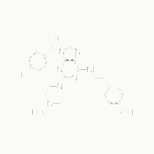 CC(c1ccc(F)cc1)n1cnc2c(NCCc3ccc(O)cc3)nc(N3CCN(C)CC3)nc21